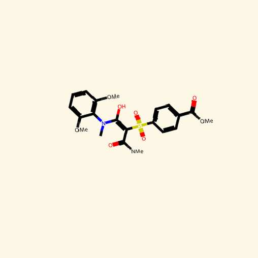 CNC(=O)/C(=C(/O)N(C)c1c(OC)cccc1OC)S(=O)(=O)c1ccc(C(=O)OC)cc1